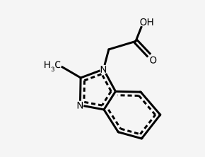 Cc1nc2ccccc2n1CC(=O)O